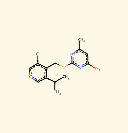 Cc1cc(O)nc(SCc2c(Cl)cncc2C(C)C)n1